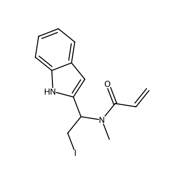 C=CC(=O)N(C)C(CI)c1cc2ccccc2[nH]1